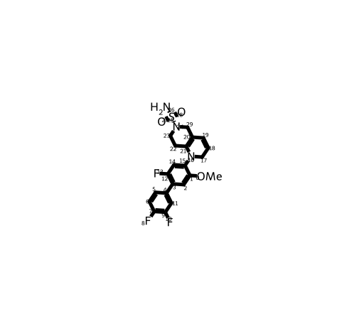 COc1cc(-c2ccc(F)c(F)c2)c(F)cc1N1CC=CC2=C1CCN(S(N)(=O)=O)C2